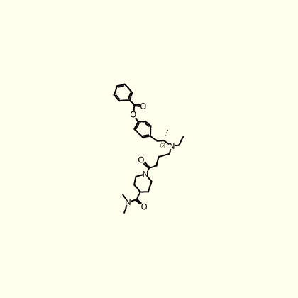 CCN(CCCC(=O)N1CCC(C(=O)N(C)C)CC1)[C@@H](C)Cc1ccc(OC(=O)c2ccccc2)cc1